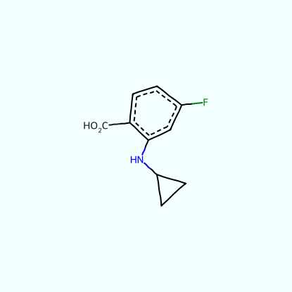 O=C(O)c1ccc(F)cc1NC1CC1